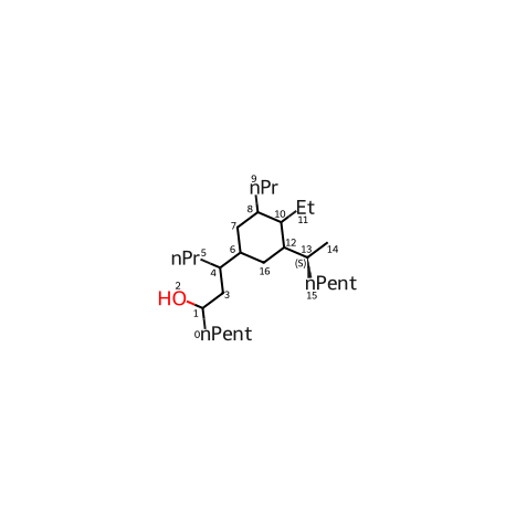 CCCCCC(O)CC(CCC)C1CC(CCC)C(CC)C([C@@H](C)CCCCC)C1